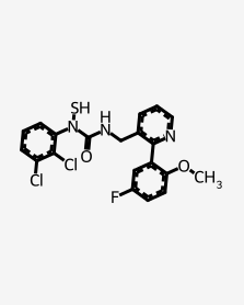 COc1ccc(F)cc1-c1ncccc1CNC(=O)N(S)c1cccc(Cl)c1Cl